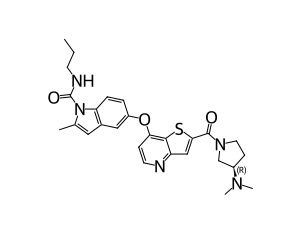 CCCNC(=O)n1c(C)cc2cc(Oc3ccnc4cc(C(=O)N5CC[C@@H](N(C)C)C5)sc34)ccc21